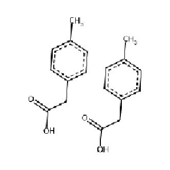 Cc1ccc(CC(=O)O)cc1.Cc1ccc(CC(=O)O)cc1